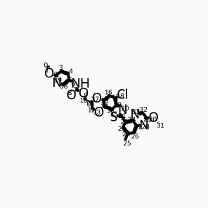 COc1ccc(NC(=O)OC[C@@H]2COc3c(cc(Cl)c4nc(-c5cc(C)cc6nc(OC)cnc56)sc34)O2)cn1